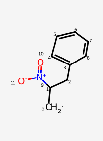 [CH2]C(Cc1ccccc1)[N+](=O)[O-]